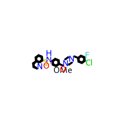 COc1cc(N[S+]([O-])c2cccc3cccnc23)ccc1C(=O)N1CCN(Cc2ccc(Cl)c(F)c2)CC1